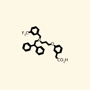 O=C(O)Cc1cccc(OCCCN(Cc2cccc(C(F)(F)F)c2)CC(c2ccccc2)c2ccccc2)c1